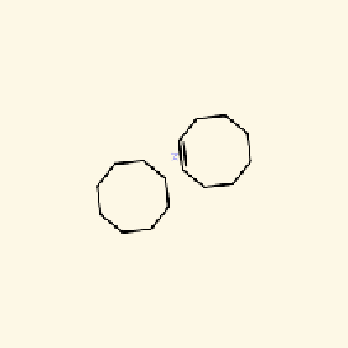 C1=C\CCCCCC/1.C1CCCCCCC1